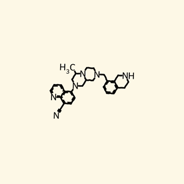 CC1CN(c2ccc(C#N)c3ncccc23)CC2CN(Cc3cccc4c3CNCC4)CCN12